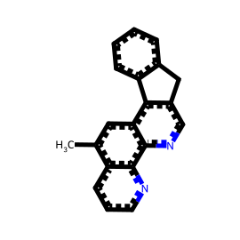 Cc1cc2c3c(cnc2c2ncccc12)Cc1ccccc1-3